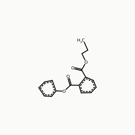 CCCOC(=O)c1ccccc1C(=O)Oc1ccccc1